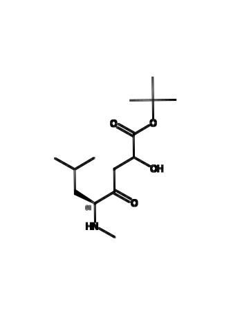 CN[C@@H](CC(C)C)C(=O)CC(O)C(=O)OC(C)(C)C